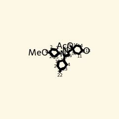 COc1ccc(-n2nc(C3(OC(C)=O)CCC(=O)CC3)cc2-c2ccc(C)cc2)cc1